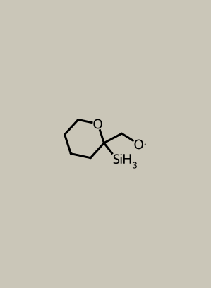 [O]CC1([SiH3])CCCCO1